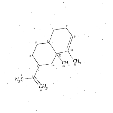 C=C(C)C1CCC2CCC=C(C)C2(C)C1